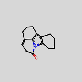 O=C1[CH]C=C2CCCc3c4c(n1c32)CCCC4